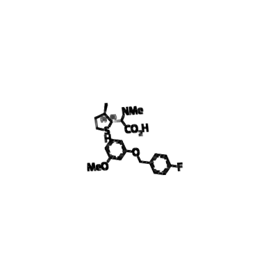 CNC(C(=O)O)[C@H]1[C@H](C)CC[SH]1c1cc(OC)cc(OCc2ccc(F)cc2)c1